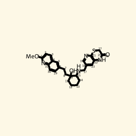 COc1ccc2cc(CCC3(O)CCCCC3NCc3cnc4c(c3)NC(=O)CS4)ccc2n1